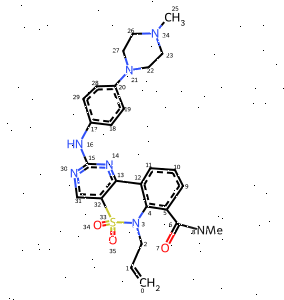 C=CCN1c2c(C(=O)NC)cccc2-c2nc(Nc3ccc(N4CCN(C)CC4)cc3)ncc2S1(=O)=O